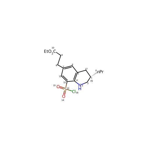 CCC[C@@H]1CNc2c(cc(CCC(=O)OCC)cc2S(=O)(=O)Cl)C1